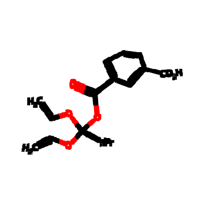 C=COC(CCC)(OC=C)OC(=O)c1cccc(C(=O)O)c1